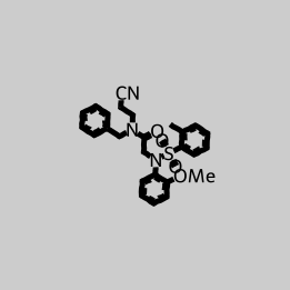 COc1ccccc1N(CC(=O)N(CCC#N)Cc1ccccc1)S(=O)(=O)c1ccccc1C